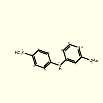 COc1cc(Nc2ccc(C(=O)O)cc2)ccn1